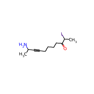 CC(N)C#CCCCCC(=O)C(C)I